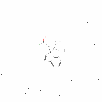 CC1(C)C(C(=O)Cl)C12C=Cc1ccccc12